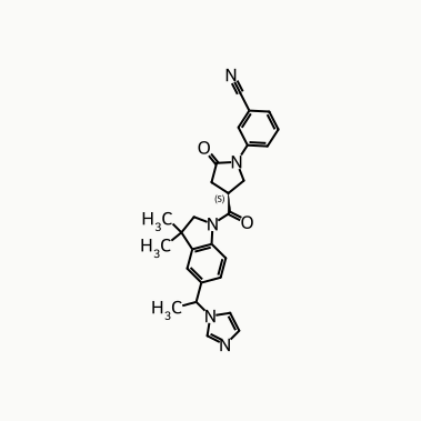 CC(c1ccc2c(c1)C(C)(C)CN2C(=O)[C@H]1CC(=O)N(c2cccc(C#N)c2)C1)n1ccnc1